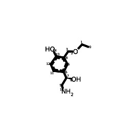 CCOCc1cc([C@@H](O)CN)ccc1O